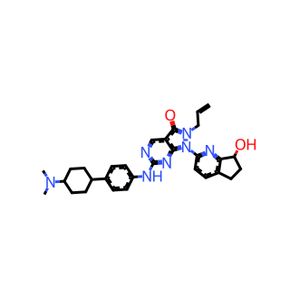 C=CCn1c(=O)c2cnc(Nc3ccc(C4CCC(N(C)C)CC4)cc3)nc2n1-c1ccc2c(n1)C(O)CC2